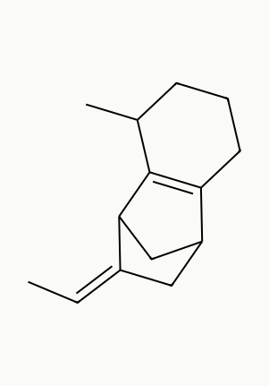 CC=C1CC2CC1C1=C2CCCC1C